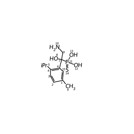 Cc1ccc(C(C)C)c(C(O)(CN)P(O)(O)=S)c1